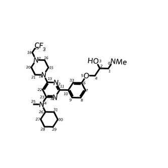 CNCC(O)COc1cccc(-c2nc(N3CCN(CC(F)(F)F)CC3)cc(N(C)C3CCCCC3)n2)c1